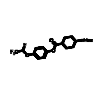 CCCCCCC1CCC(C(=O)Oc2ccc(OC(F)C(F)(F)F)cc2)CC1